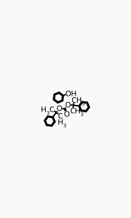 CC(C)(OC(=O)OC(C)(C)c1ccccc1)c1ccccc1.Oc1ccccc1